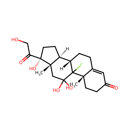 C[C@]12CCC(=O)C=C1CC[C@H]1[C@@H]3CC[C@](O)(C(=O)CO)[C@@]3(C)CC(O)(O)C12F